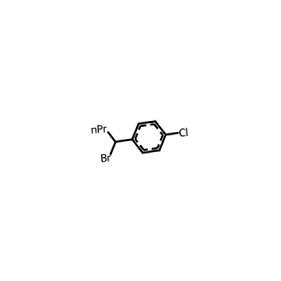 CCCC(Br)c1ccc(Cl)cc1